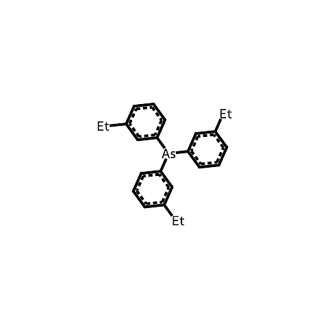 CCc1cccc([As](c2cccc(CC)c2)c2cccc(CC)c2)c1